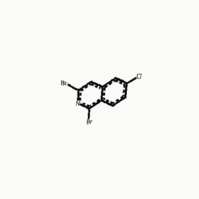 Clc1ccc2c(Br)nc(Br)cc2c1